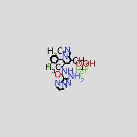 Cc1cc(C(C)NC(=O)c2c(N)nn3cccnc23)c(-c2cccc(F)c2)n2c(C)ncc12.O=C(O)C(F)(F)F